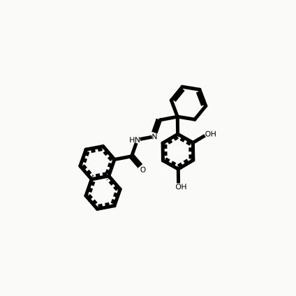 O=C(NN=CC1(c2ccc(O)cc2O)C=CC=CC1)c1cccc2ccccc12